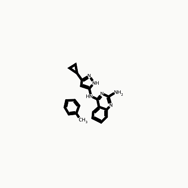 Cc1ccccc1.Nc1nc(Nc2cc(C3CC3)n[nH]2)c2ccccc2n1